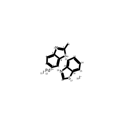 [CH]c1nc2ccccc2s1.[I-].[I-].[Pd+2].c1ccc2scnc2c1